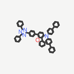 c1ccc(-c2ccc(N(c3ccc(-c4ccccc4)cc3)c3ccc(-c4ccc(-c5nc(-c6ccccc6)nc(-c6ccccc6)n5)cc4)c4oc5ccccc5c34)cc2)cc1